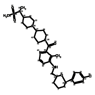 Cc1c(NC[C@@H]2CCC[C@H](c3ccc(Cl)cc3)O2)ncnc1C(=O)N1CCC(N2CCC(N(C)S(C)(=O)=O)CC2)CC1